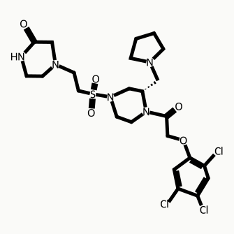 O=C1CN(CCS(=O)(=O)N2CCN(C(=O)COc3cc(Cl)c(Cl)cc3Cl)[C@@H](CN3CCCC3)C2)CCN1